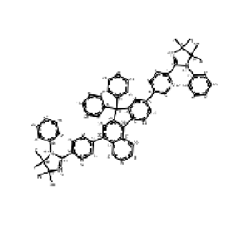 CC1(C)N=C(c2ccc(-c3ccc4c(c3)C(c3ccccc3)(c3ccccc3)c3cc(-c5ccc(C6=NC(C)(C)C(C)(C)N6c6ccccc6)nc5)c5ccccc5c3-4)cn2)N(c2ccccc2)C1(C)C